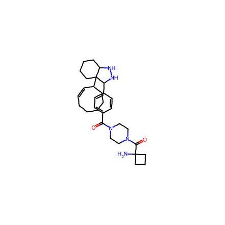 NC1(C(=O)N2CCN(C(=O)c3ccc(C4NNC5CCCCC54C4/C=C\CCCCC4)cc3)CC2)CCC1